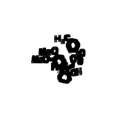 COc1ccc(C2CCCCC2(O)C(C)COS(=O)(=O)c2ccc(C)cc2)cc1OC